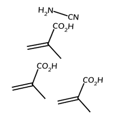 C=C(C)C(=O)O.C=C(C)C(=O)O.C=C(C)C(=O)O.N#CN